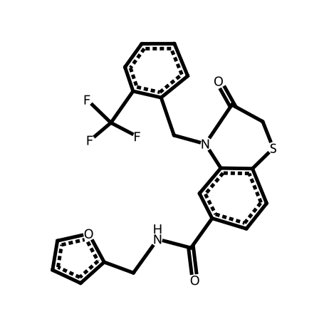 O=C(NCc1ccco1)c1ccc2c(c1)N(Cc1ccccc1C(F)(F)F)C(=O)CS2